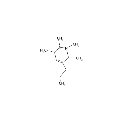 CCCC1=CC(C)N(C)N(C)C1C